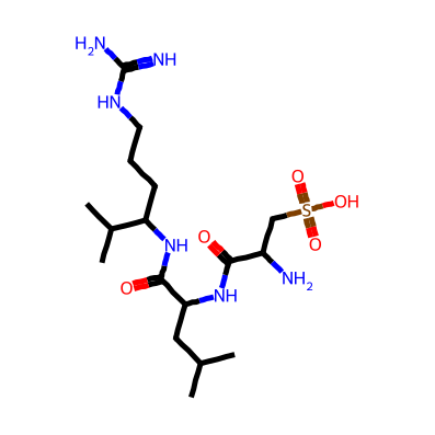 CC(C)CC(NC(=O)C(N)CS(=O)(=O)O)C(=O)NC(CCCNC(=N)N)C(C)C